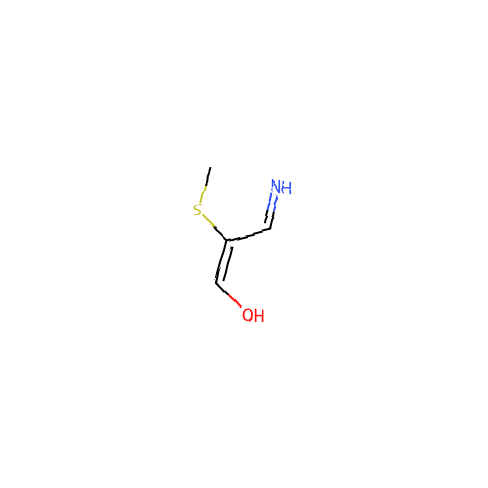 CS/C(C=N)=C/O